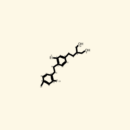 CCc1cc(CCC(CO)CO)ccc1CCc1ccc(C)cc1F